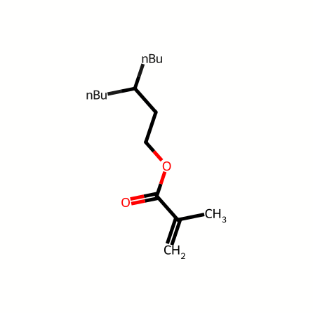 C=C(C)C(=O)OCCC(CCCC)CCCC